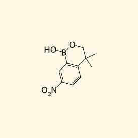 CC1(C)COB(O)c2cc([N+](=O)[O-])ccc21